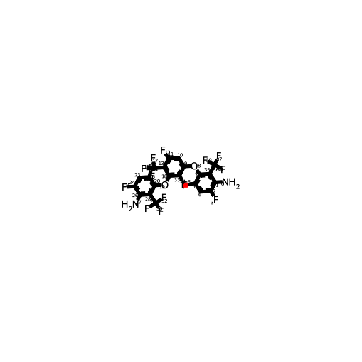 Nc1c(F)cc(F)c(Oc2cc(F)c(C(F)(F)F)c(Oc3c(F)cc(F)c(N)c3C(F)(F)F)c2F)c1C(F)(F)F